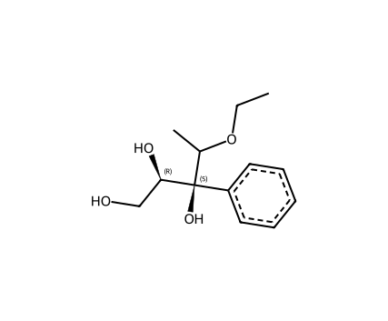 CCOC(C)[C@](O)(c1ccccc1)[C@H](O)CO